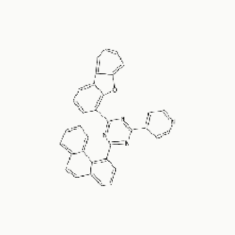 c1ccc2c(c1)ccc1cccc(-c3nc(-c4ccncc4)nc(-c4cccc5c4oc4ccccc45)n3)c12